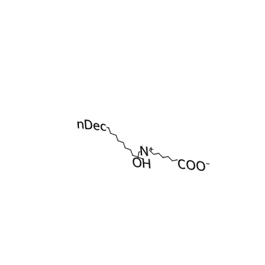 CCCCCCCCCCCCCCCCCCC(C)(O)C[N+](C)(C)CCCCCCCC(=O)[O-]